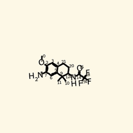 COc1cc2c(cc1N)C(C)(C)C(NC(=O)C(F)(F)F)CC2